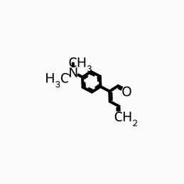 C=CC=C(C=O)c1ccc(N(C)C)cc1